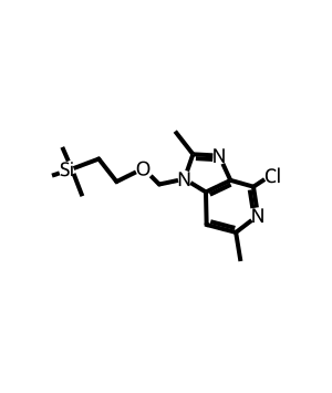 Cc1cc2c(nc(C)n2COCC[Si](C)(C)C)c(Cl)n1